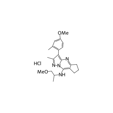 COCC(C)Nc1c2c(nc3c(-c4ccc(OC)cc4C)c(C)nn13)CCC2.Cl